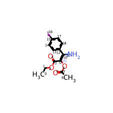 CCOC(=O)/C(OC(C)=O)=C(/N)c1ccc(I)cc1